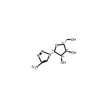 O=[N+]([O-])c1cn([C@@H]2O[C@H](CO)[C@@H](O)[C@H]2O)nn1